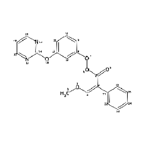 COC=C(C(=O)OOc1cccc(Oc2ncccn2)c1)c1ccccc1